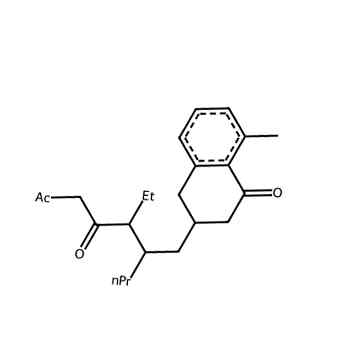 CCCC(CC1CC(=O)c2c(C)cccc2C1)C(CC)C(=O)CC(C)=O